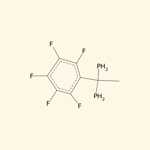 CC(P)(P)c1c(F)c(F)c(F)c(F)c1F